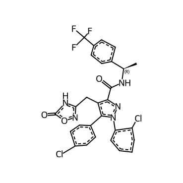 C[C@@H](NC(=O)c1nn(-c2ccccc2Cl)c(-c2ccc(Cl)cc2)c1Cc1noc(=O)[nH]1)c1ccc(C(F)(F)F)cc1